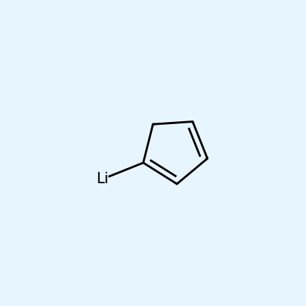 [Li][C]1=CC=CC1